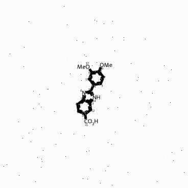 COc1ccc(-c2nc3ccc(C(=O)O)cc3[nH]2)cc1OC